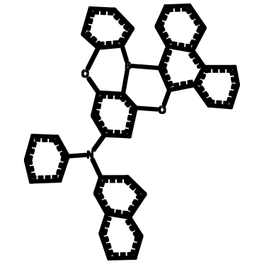 c1ccc(N(c2cc3c4c(c2)Oc2c(c5ccccc5c5ccccc25)B4c2ccccc2O3)c2ccc3ccccc3c2)cc1